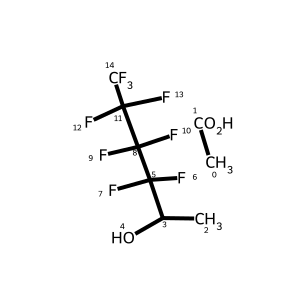 CC(=O)O.CC(O)C(F)(F)C(F)(F)C(F)(F)C(F)(F)F